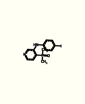 CP(C)(=O)c1ccncc1Nc1ccc(I)cc1